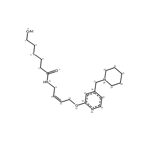 CC(=O)OCCSCCC(=O)NC/C=C\COc1cc(CN2CCCCC2)ccn1